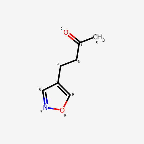 CC(=O)CCc1cnoc1